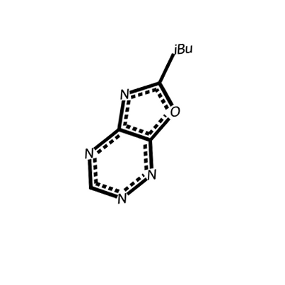 CCC(C)c1nc2ncnnc2o1